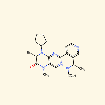 CCC1C(=O)N(C)c2cnc(-c3ccncc3C(C)NC(=O)O)nc2N1C1CCCC1